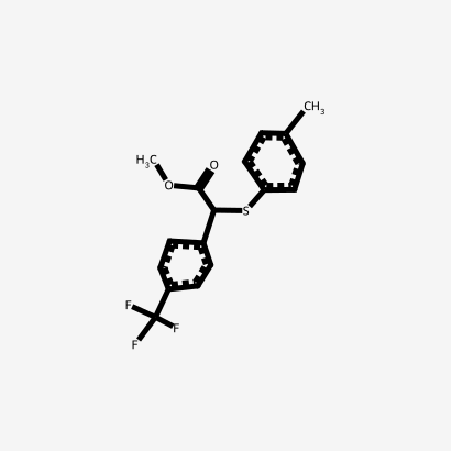 COC(=O)C(Sc1ccc(C)cc1)c1ccc(C(F)(F)F)cc1